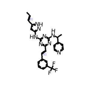 C/C=C/c1cc(Nc2nc(/C=C/c3cccc(C(F)(F)F)c3)nc(NC(C)c3ccncc3)n2)n[nH]1